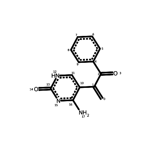 C=C(C(=O)c1ccccc1)c1c[nH]c(=O)nc1N